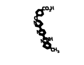 Cc1ccc2nc(-c3ccc(-c4ccc(OC5CCC(C(=O)O)CC5)nc4)nc3)[nH]c2c1